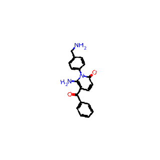 NCc1ccc(-n2c(N)c(C(=O)c3ccccc3)ccc2=O)cc1